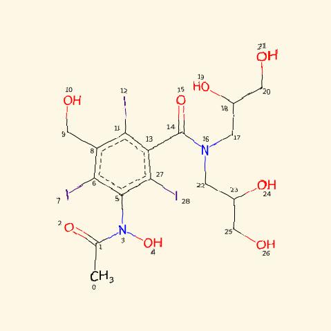 CC(=O)N(O)c1c(I)c(CO)c(I)c(C(=O)N(CC(O)CO)CC(O)CO)c1I